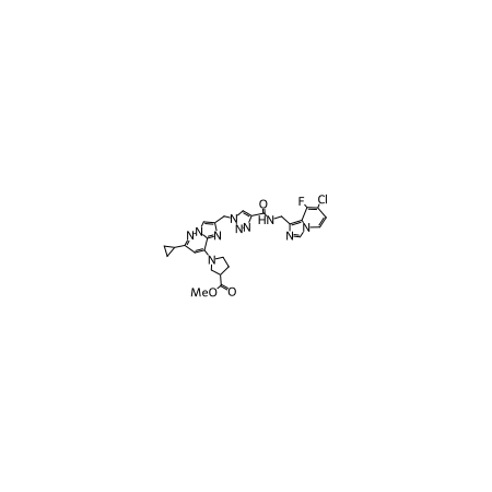 COC(=O)C1CCN(c2cc(C3CC3)nn3cc(Cn4cc(C(=O)NCc5ncn6ccc(Cl)c(F)c56)nn4)nc23)C1